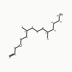 C=CCOCCC(C)CCCC(C)CCCC(C)C